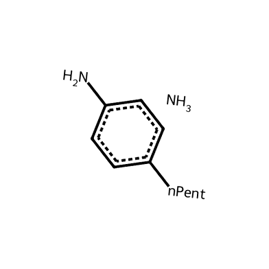 CCCCCc1ccc(N)cc1.N